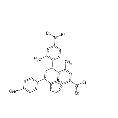 CCN(CC)c1ccc(C(C=C(c2ccc(C=O)cc2)c2cccs2)c2ccc(N(CC)CC)cc2C)c(C)c1